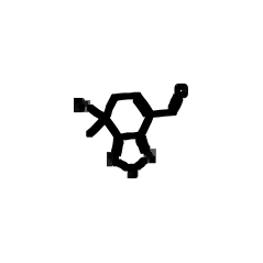 CC1(Br)CC=C(C=O)c2nsnc21